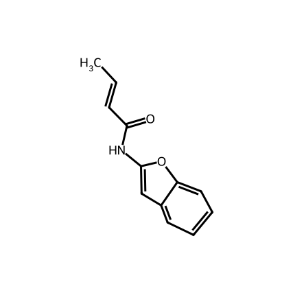 CC=CC(=O)Nc1cc2ccccc2o1